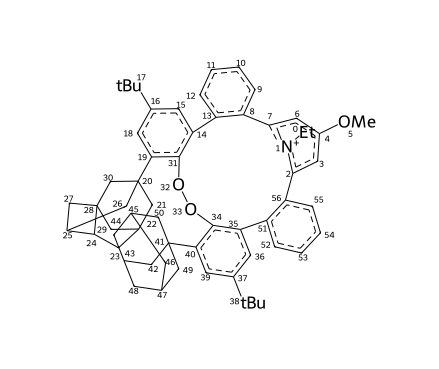 CC[n+]1c2cc(OC)cc1-c1ccccc1-c1cc(C(C)(C)C)cc(C34CC5CC6C(C3)CC6(C5)C4)c1OOc1c(cc(C(C)(C)C)cc1C13CC4CC(CC(C4)C1)C3)-c1ccccc1-2